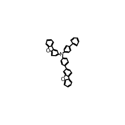 c1ccc(-c2ccc(N(c3ccc(-c4ccc5c(c4)oc4ccccc45)cc3)c3ccc4oc5ccccc5c4c3)cc2)cc1